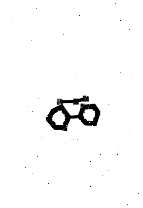 C[CH2][Ni][CH2]C.c1ccc(-c2ccccn2)nc1